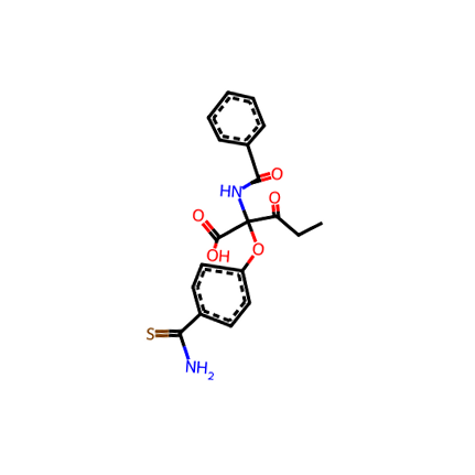 CCC(=O)C(NC(=O)c1ccccc1)(Oc1ccc(C(N)=S)cc1)C(=O)O